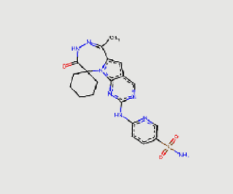 CC1=NNC(=O)C2(CCCCC2)n2c1cc1cnc(Nc3ccc(S(N)(=O)=O)cn3)nc12